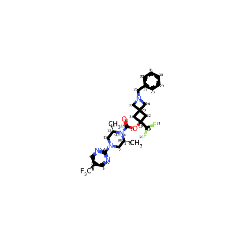 C[C@@H]1CN(c2ncc(C(F)(F)F)cn2)C[C@H](C)N1C(=O)OC1(C(F)F)CC2(CN(Cc3ccccc3)C2)C1